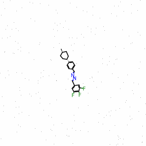 C[C@H]1CC[C@H](c2ccc(C=NN=Cc3cc(F)c(F)c(F)c3)cc2)CC1